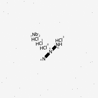 Cl.Cl.Cl.Cl.[N-]=[N+]=N.[Nb]